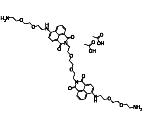 CC(=O)O.CC(=O)O.NCCOCCOCCNc1ccc2c3c(cccc13)C(=O)N(CCOCCOCCN1C(=O)c3cccc4c(NCCOCCOCCN)ccc(c34)C1=O)C2=O